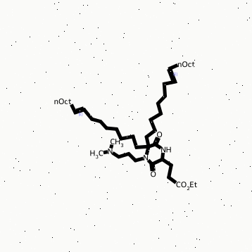 CCCCCCCC/C=C/CCCCCCCC1(CCCCCCC/C=C/CCCCCCCC)C(=O)NC(CCC(=O)OCC)C(=O)N1CCCN(C)C